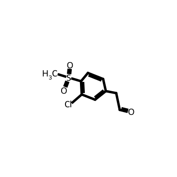 CS(=O)(=O)c1ccc(CC=O)cc1Cl